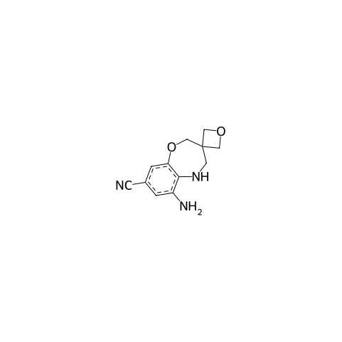 N#Cc1cc(N)c2c(c1)OCC1(CN2)COC1